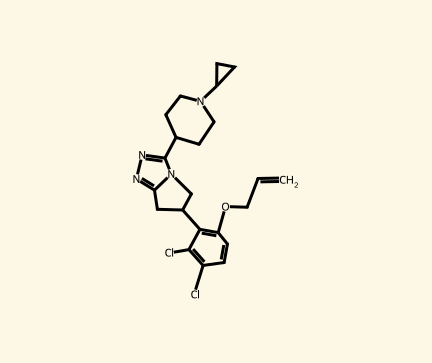 C=CCOc1ccc(Cl)c(Cl)c1C1Cc2nnc(C3CCN(C4CC4)CC3)n2C1